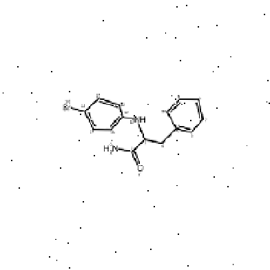 NC(=O)C(Cc1ccccc1)Nc1ccc(Br)cc1